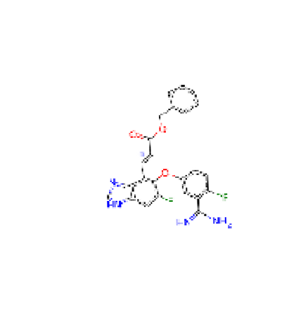 N=C(N)c1cc(Oc2c(F)cc3[nH]cnc3c2/C=C/C(=O)OCc2ccccc2)ccc1F